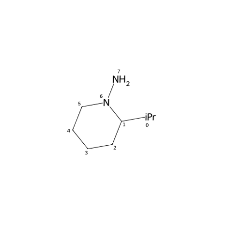 CC(C)C1CCCCN1N